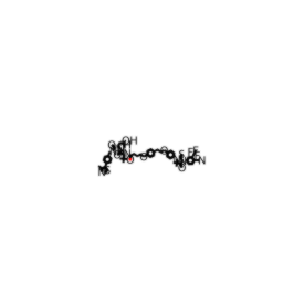 Cc1ncsc1-c1ccc(CNC(=O)[C@@H]2C[C@@H](O)CN2C(=O)[C@@H](NC(=O)CCCOc2ccc(CCOc3ccc(N4C(=S)N(c5ccc(C#N)c(C(F)(F)F)c5)C(=O)C4(C)C)cc3)cc2)C(C)(C)C)cc1